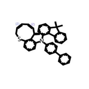 C=C1/C=C\C=C/CSc2cccc(N(c3ccc(-c4ccccc4)cc3)c3cccc4c3-c3ccccc3C4(C)C)c21